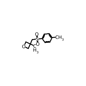 Cc1ccc(S(=O)(=O)CC2(C)COC2)cc1